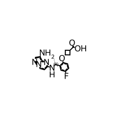 C[C@@H](Nc1ccn2ncc(N)c2n1)c1cc(F)ccc1OC1CC(C(=O)O)C1